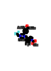 COC(=O)c1ccc(C2CN(CC(F)F)CCN2Cc2c(OC)cc(C)c3c2ccn3C(=O)OC(C)(C)C)cc1NC(C)=O